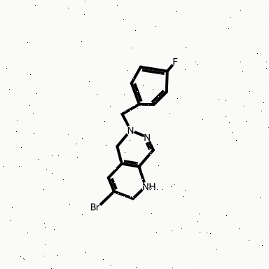 Fc1ccc(CN2CC3=C(C=N2)NCC(Br)=C3)cc1